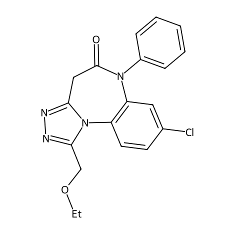 CCOCc1nnc2n1-c1ccc(Cl)cc1N(c1ccccc1)C(=O)C2